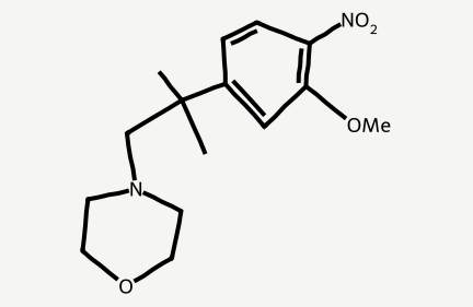 COc1cc(C(C)(C)CN2CCOCC2)ccc1[N+](=O)[O-]